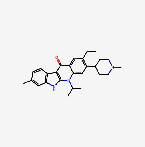 CCc1cc2c(=O)c3c4ccc(C)cc4[nH]c3n(C(C)C)c2cc1C1CCN(C)CC1